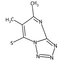 Cc1nc2nnnn2c([S])c1C